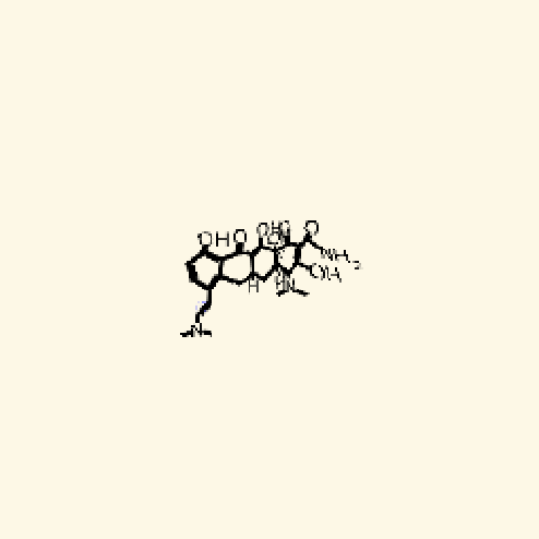 CN(C)/C=C/c1ccc(O)c2c1C[C@H]1C[C@H]3[C@@H](N(C)C)C(O)=C(C(N)=O)C(=O)[C@@]3(O)C(O)=C1C2=O